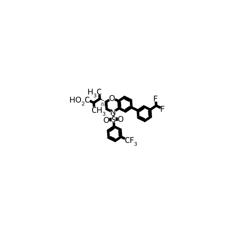 CC(C(=O)O)C(C)[C@H]1CN(S(=O)(=O)c2cccc(C(F)(F)F)c2)c2cc(-c3cccc(C(F)F)c3)ccc2O1